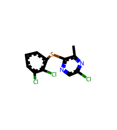 Cc1nc(Cl)cnc1Sc1cccc(Cl)c1Cl